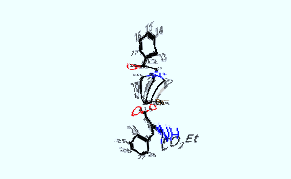 CCOC(=O)NC(C(=O)O[C@H]1C[N+]2(CC(=O)c3ccccc3)CCC1CC2)c1ccccc1.[Br-]